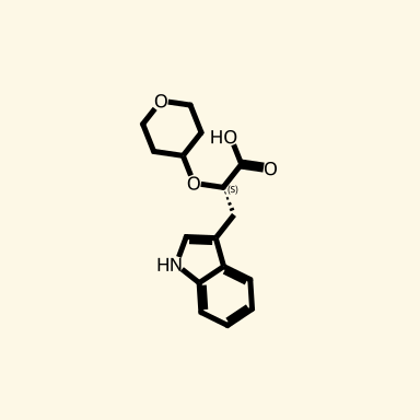 O=C(O)[C@H](Cc1c[nH]c2ccccc12)OC1CCOCC1